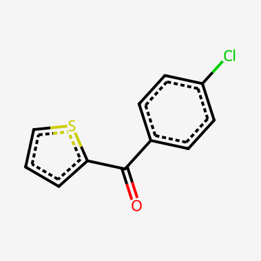 O=C(c1ccc(Cl)cc1)c1cccs1